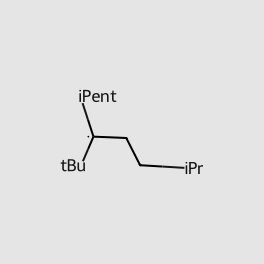 CCCC(C)[C](CCC(C)C)C(C)(C)C